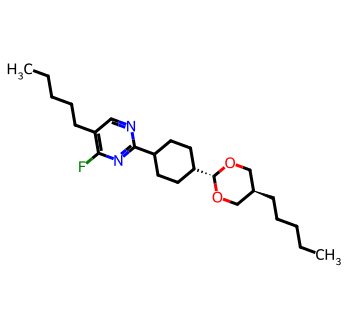 CCCCCc1cnc(C2CCC([C@H]3OC[C@H](CCCCC)CO3)CC2)nc1F